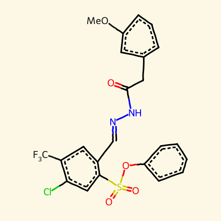 COc1cccc(CC(=O)NN=Cc2cc(C(F)(F)F)c(Cl)cc2S(=O)(=O)Oc2ccccc2)c1